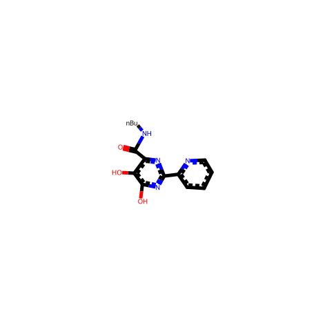 CCCCNC(=O)c1nc(-c2ccccn2)nc(O)c1O